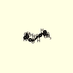 CCC(=O)N1c2ccccc2[C@H](Nc2ccc(NC(=O)C#CCNC(=O)C3CCC(N[C@@H]4C[C@H](C)N(C(=O)CC)c5ccccc54)CC3)cc2)C[C@@H]1C